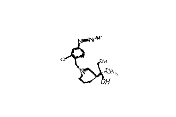 C[C@@](O)(CO)[C@H]1CCCN(Cc2ccc(N=[N+]=[N-])cc2Cl)C1